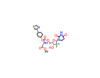 CC(C)OC(=O)[C@H](C)NP(=O)(OC[C@H]1O[C@@H](n2ccc(=O)[nH]c2=O)[C@](C)(F)[C@@H]1O)Oc1ccc(-c2cscn2)cc1